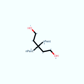 CCCCCC(CCO)(CCO)CCCCC